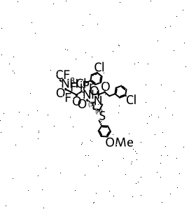 COc1ccc(CS[C@@H]2C[C@@H](C(=O)NC(C(=O)C(F)(F)C(=O)NCC(F)(F)F)C(C)C)N(C(=O)C(Cc3cccc(Cl)c3)Oc3cc(Cl)cc(Cl)c3)C2)cc1